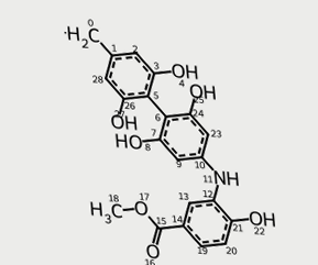 [CH2]c1cc(O)c(-c2c(O)cc(Nc3cc(C(=O)OC)ccc3O)cc2O)c(O)c1